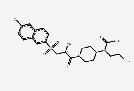 CCCN(C(N)=O)C1CCN(C(=O)[C@H](O)CS(=O)(=O)c2ccc3cc(Cl)ccc3c2)CC1